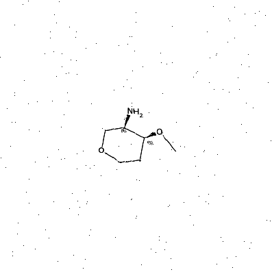 CO[C@H]1CCOC[C@H]1N